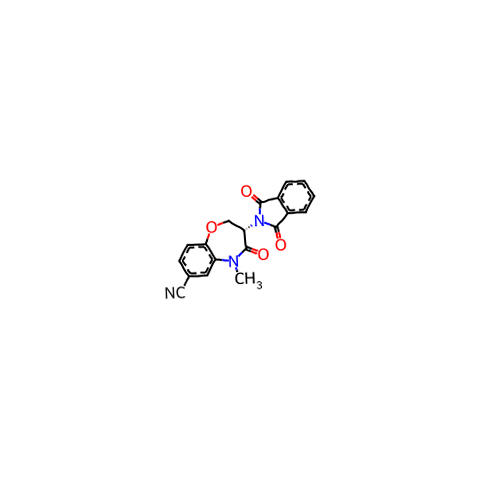 CN1C(=O)[C@@H](N2C(=O)c3ccccc3C2=O)COc2ccc(C#N)cc21